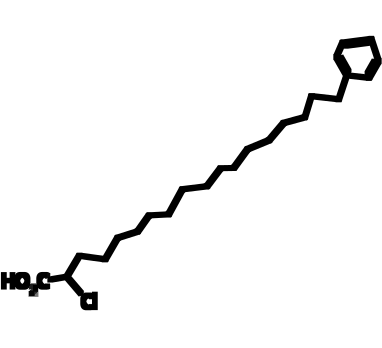 O=C(O)C(Cl)CCCCCCCCCCCCCCCCc1ccccc1